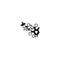 COC(=O)c1c(C)ccc(O)c1C(=O)ONC(=O)OC(C)(C)C